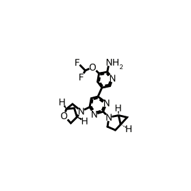 Nc1ncc(-c2cc(N3C[C@@H]4C[C@H]3CO4)nc(N3CC[C@@H]4C[C@@H]43)n2)cc1OC(F)F